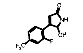 O=C1C=C(c2ccc(C(F)(F)F)cc2F)C(O)N1